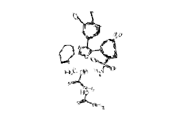 C.C1CCCCC1.NC(O)=S.NC(O)=S.NS(=O)(=O)c1ccccc1-c1ocnc1-c1ccc(F)c(Cl)c1.O